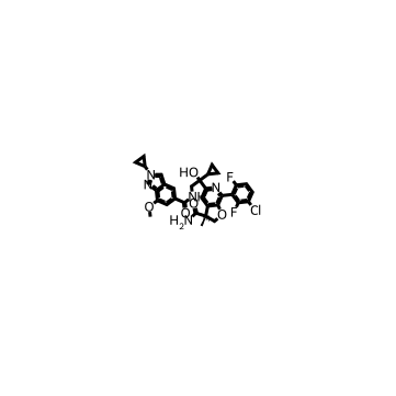 COc1cc(C(=O)NCC(O)(c2cc3c(c(-c4c(F)ccc(Cl)c4F)n2)OC[C@]3(C)C(N)=O)C2CC2)cc2cn(C3CC3)nc12